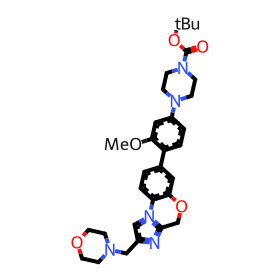 COc1cc(N2CCN(C(=O)OC(C)(C)C)CC2)ccc1-c1ccc2c(c1)OCc1nc(CN3CCOCC3)cn1-2